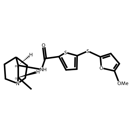 COc1ccc(Sc2ccc(C(=O)N[C@@H]3C4CCN(CC4)[C@H]3C)s2)o1